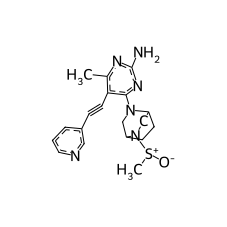 Cc1nc(N)nc(N2CC3CCC2CN3[S+](C)[O-])c1C#Cc1cccnc1